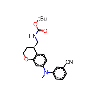 CN(c1cccc(C#N)c1)c1ccc2c(c1)OCC[C@H]2CNC(=O)OC(C)(C)C